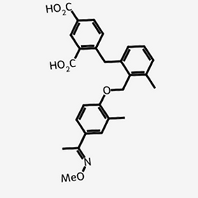 CON=C(C)c1ccc(OCc2c(C)cccc2Cc2ccc(C(=O)O)cc2C(=O)O)c(C)c1